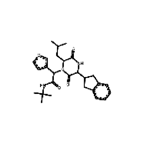 CC(C)CC1C(=O)NC(C2Cc3ccccc3C2)C(=O)N1C(C(=O)NC(C)(C)C)c1ccoc1